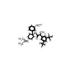 CC(C(=O)N[C@]1(c2ccccc2)CC[C@@H](CN(C)C)CC1)c1cc(C(F)(F)F)cc(C(F)(F)F)c1.Cl